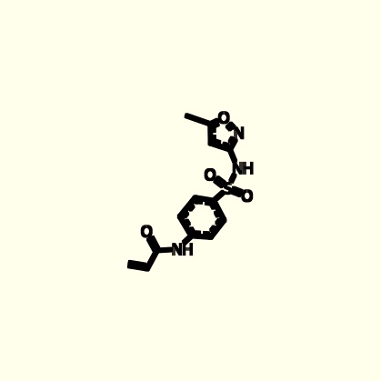 C=CC(=O)Nc1ccc(S(=O)(=O)Nc2cc(C)on2)cc1